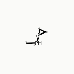 CPP1CC1